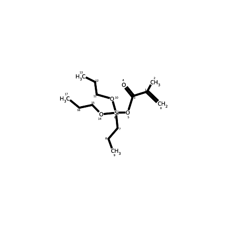 C=C(C)C(=O)O[Si](CCC)(OCCC)OCCC